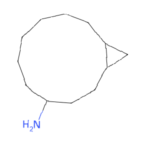 NC1CCCCCCC2CC2CC1